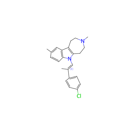 C/C(=C\n1c2c(c3cc(C)ccc31)CCN(C)CC2)c1ccc(Cl)cc1